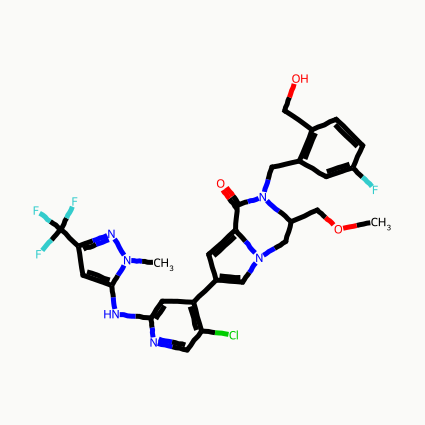 COCC1Cn2cc(-c3cc(Nc4cc(C(F)(F)F)nn4C)ncc3Cl)cc2C(=O)N1Cc1cc(F)ccc1CO